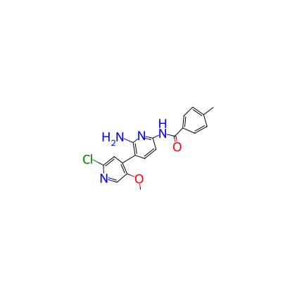 COc1cnc(Cl)cc1-c1ccc(NC(=O)c2ccc(C)cc2)nc1N